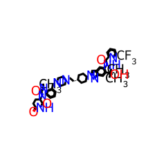 Cn1c(=O)n(C2CCC(=O)NC2=O)c2cccc(CN3CCN(CC[C@H]4CC[C@H](n5cc6cc(NC(=O)c7cccc(C(F)(F)F)n7)c(C(C)(C)O)cc6n5)CC4)CC3)c21